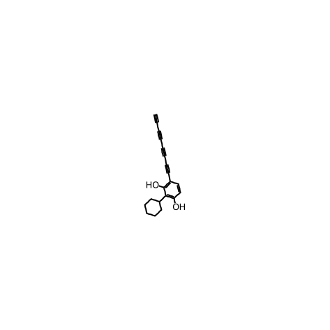 C#CC#CC#CC#Cc1ccc(O)c(C2CCCCC2)c1O